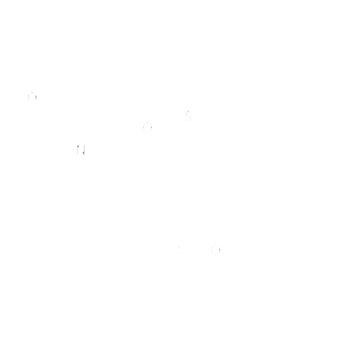 CC(C)c1cccc2c1Cc1ccccc1[S+]2[O-].CCCC(=O)c1ccc(N2CCOCC2)cc1